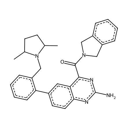 CC1CCC(C)N1Cc1ccccc1-c1ccc2nc(N)nc(C(=O)N3Cc4ccccc4C3)c2c1